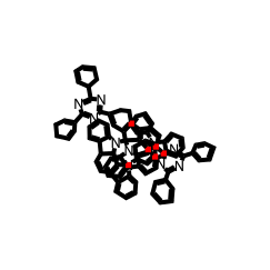 C1=CCC(c2nc(C3=CCCC=C3)nc(C3=CC4=C(CC3)c3ccc(-c5nc(-c6ccccc6)nc(-c6ccccc6)n5)cc3C4(N3c4ccccc4C4C=Cc5c(n(C6C=CC=CC6)c6ccccc56)C43)n3c4ccccc4c4ccc5c6ccccc6n(C6C=CC=CC6)c5c43)n2)C=C1